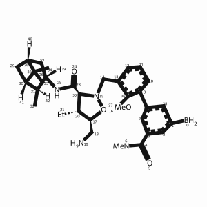 Bc1cc(C(=O)NC)cc(-c2cccc(CN3O[C@@H](CN)[C@H](CC)[C@H]3C(=O)N[C@H]3C[C@H]4C[C@@H]([C@@H]3C)C4(C)C)c2OC)c1